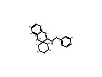 c1ccc(CNC2=Nc3ccccc3NC23CCCCC3)cc1